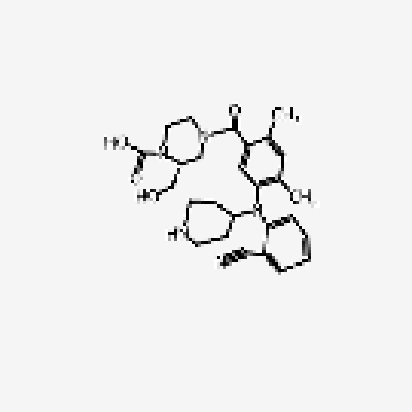 Cc1cc(C)c(N(c2ccccc2C#N)C2CCNCC2)cc1C(=O)N1CCN(C(=O)O)[C@H](CO)C1